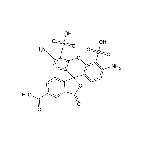 CC(=O)c1ccc2c(c1)C(=O)OC21c2ccc(N)c(S(=O)(=O)O)c2Oc2c1ccc(N)c2S(=O)(=O)O